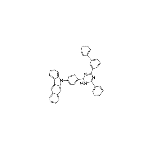 c1ccc(C2=NC(c3cccc(-c4ccccc4)c3)=NC(c3ccc(-n4c5ccccc5c5cc6ccccc6cc54)cc3)N2)cc1